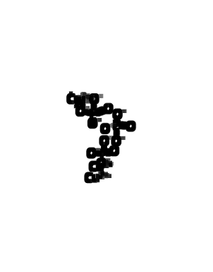 O=P([O-])([O-])[O-].O=P([O-])([O-])[O-].O=P([O-])([O-])[O-].[Al+3].[Cu+2].[Cu+2].[Cu+2]